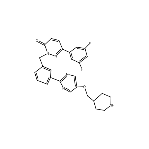 O=c1ccc(-c2cc(F)cc(F)c2)nn1Cc1cccc(-c2ncc(OCC3CCNCC3)cn2)c1